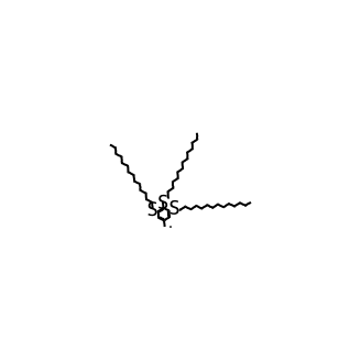 [CH2]c1cc(SCCCCCCCCCCCCCC)c(SCCCCCCCCCCCCCC)c(SCCCCCCCCCCCCCC)c1